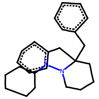 c1ccc(CC2(Cc3ccccc3)CCCCN2NC2CCCCC2)cc1